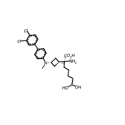 CN(c1ccc(-c2ccc(Cl)c(Cl)c2)cc1)[C@H]1C[C@H]([C@@](N)(CCCCB(O)O)C(=O)O)C1